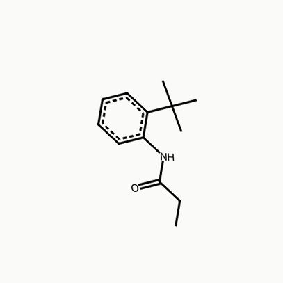 CCC(=O)Nc1ccccc1C(C)(C)C